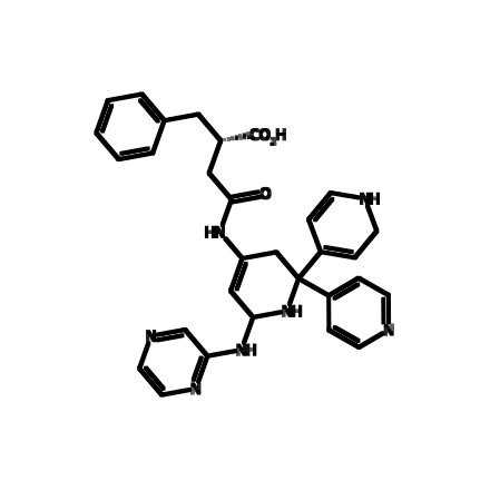 O=C(C[C@H](Cc1ccccc1)C(=O)O)NC1=CC(Nc2cnccn2)NC(C2=CCNC=C2)(c2ccncc2)C1